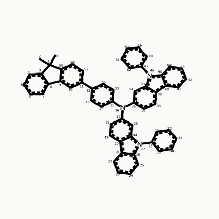 CC1(C)c2ccccc2-c2cc(-c3ccc(N(c4ccc5c6ccccc6n(-c6ccccc6)c5c4)c4ccc5c6ccccc6n(-c6ccccc6)c5c4)cc3)ccc21